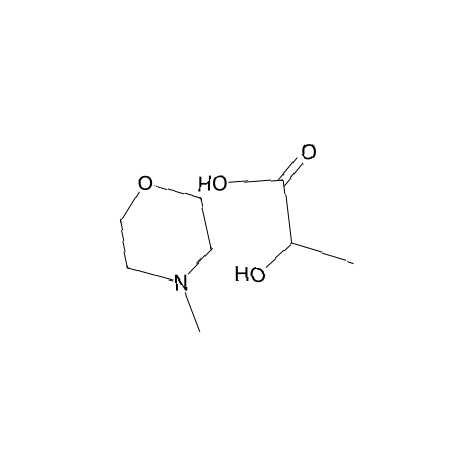 CC(O)C(=O)O.CN1CCOCC1